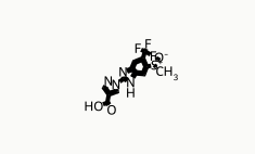 C[S+]([O-])c1cc2[nH]c(-n3cc(C(=O)O)cn3)nc2cc1C(F)(F)F